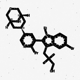 CCn1c(-c2cc([C@H]3C[C@H]4COC[C@@H](C3)N4)cnc2C(C)C)c(CC(C)(C)CO)c2cc(Br)ccc21